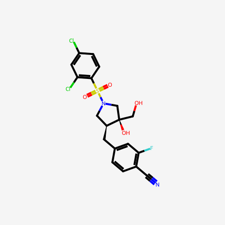 N#Cc1ccc(C[C@H]2CN(S(=O)(=O)c3ccc(Cl)cc3Cl)C[C@]2(O)CO)cc1F